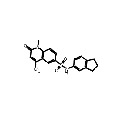 Cn1c(=O)cc(C(F)(F)F)c2cc(S(=O)(=O)Nc3ccc4c(c3)CCC4)ccc21